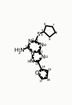 Nc1nc(SC2CCCC2)nc2nc(-c3ccco3)nn12